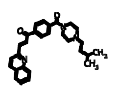 CC(C)CCN1CCN(C(=O)c2ccc(C(=O)C=Cc3ccc4ccccc4n3)cc2)CC1